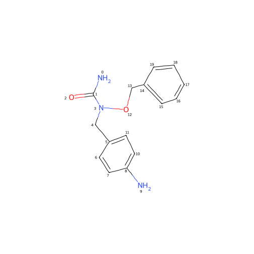 NC(=O)N(Cc1ccc(N)cc1)OCc1ccccc1